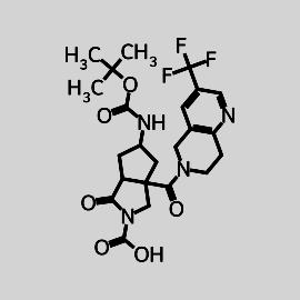 CC(C)(C)OC(=O)NC1CC2C(=O)N(C(=O)O)CC2(C(=O)N2CCc3ncc(C(F)(F)F)cc3C2)C1